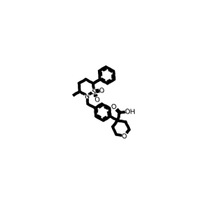 CC1CCC(c2ccccc2)S(=O)(=O)N1Cc1ccc(C2(C(=O)O)CCOCC2)cc1